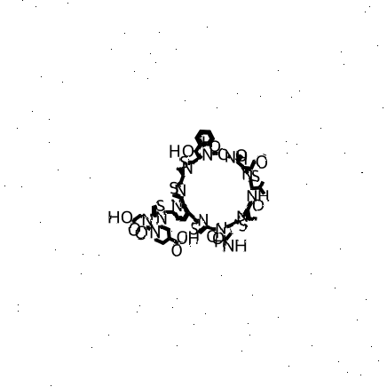 CNC(=O)C[C@@H]1NC(=O)c2csc(n2)-c2ccc(-c3nc(N(CC(=O)O)C(=O)N4CCC(C(=O)O)CC4)cs3)nc2-c2csc(n2)-c2csc(n2)[C@H]([C@@H](O)c2ccccc2)NC(=O)CNC(=O)c2nc(sc2COC)C(C(C)C)NC(=O)c2nc1sc2C